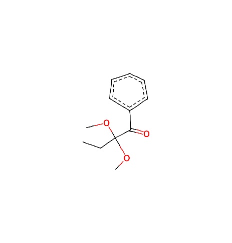 CCC(OC)(OC)C(=O)c1ccccc1